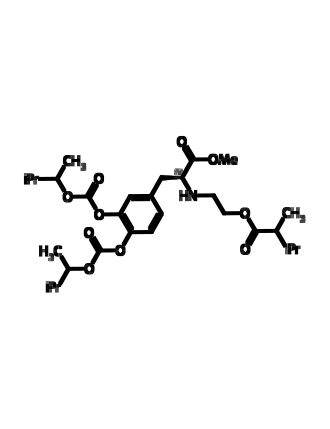 COC(=O)[C@H](Cc1ccc(OC(=O)OC(C)C(C)C)c(OC(=O)OC(C)C(C)C)c1)NCCOC(=O)C(C)C(C)C